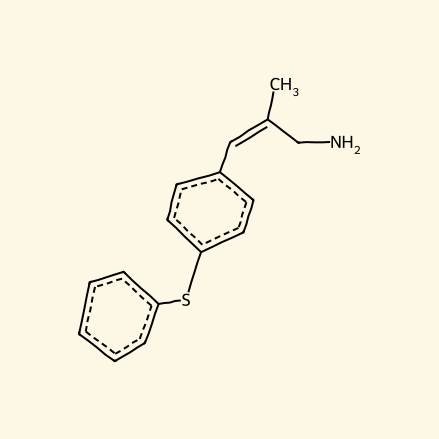 CC(=Cc1ccc(Sc2ccccc2)cc1)CN